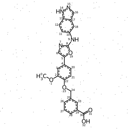 COc1cc(-c2cnc(Nc3ccc4[nH]ncc4c3)o2)ccc1OCc1cccc(C(=O)O)c1